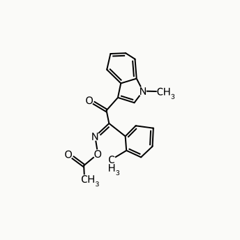 CC(=O)O/N=C(/C(=O)c1cn(C)c2ccccc12)c1ccccc1C